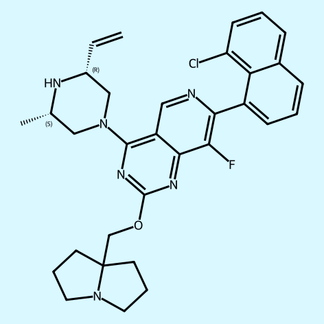 C=C[C@@H]1CN(c2nc(OCC34CCCN3CCC4)nc3c(F)c(-c4cccc5cccc(Cl)c45)ncc23)C[C@H](C)N1